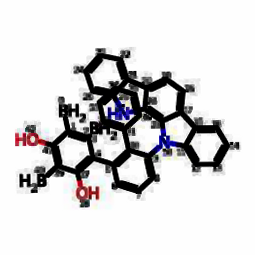 Bc1c(B)c(-c2cccc(-n3c4ccccc4c4ccc5c6ccccc6[nH]c5c43)c2-c2ccccc2)c(O)c(B)c1O